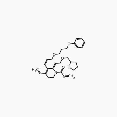 C=CC1=C(/C=C\COCCCOc2ccccc2)/C(=C/COCC2CCCO2)N(C(=O)N=C)CC1